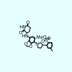 COS(=O)(=O)c1ccc(C)cc1C1CCN(c2ccc(NC3CCC(=O)NC3=O)c3c2OCO3)C1